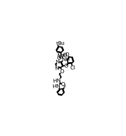 COc1ccc(Cl)c(Oc2c(NS(=O)(=O)c3ccc(C(C)(C)C)cc3)ncnc2OCCNC(=O)Nc2ccccc2F)c1